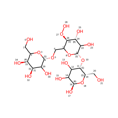 OCC1O[C@H](OCC2O[C@@H](O[C@H]3C(O)C(O)[C@H](O)O[C@H]3CO)C(O)[C@@H](O)[C@@H]2OO)C(O)[C@@H](O)[C@H]1O